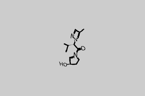 Cc1cnn([C@H](C(=O)N2CC[C@@H](O)C2)C(C)C)c1